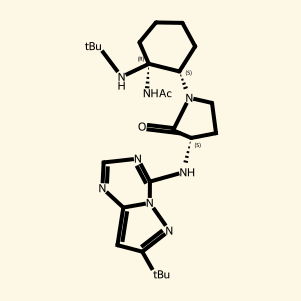 CC(=O)N[C@]1(NC(C)(C)C)CCCC[C@@H]1N1CC[C@H](Nc2ncnc3cc(C(C)(C)C)nn23)C1=O